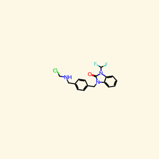 O=c1n(Cc2ccc(CNCCl)cc2)c2ccccc2n1C(F)F